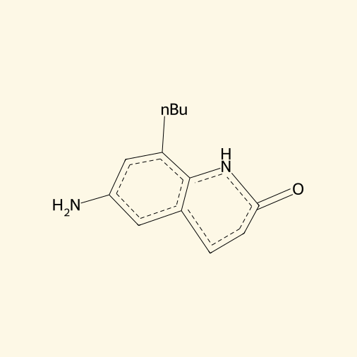 CCCCc1cc(N)cc2ccc(=O)[nH]c12